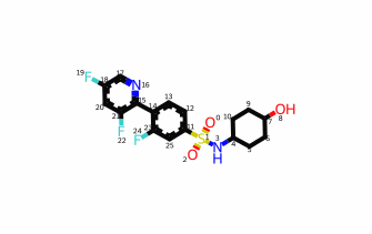 O=S(=O)(NC1CCC(O)CC1)c1ccc(-c2ncc(F)cc2F)c(F)c1